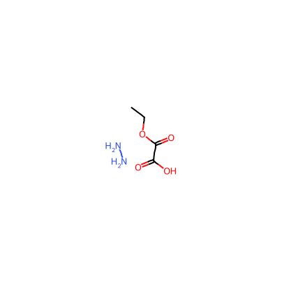 CCOC(=O)C(=O)O.NN